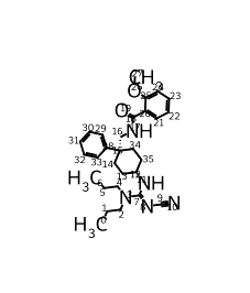 CCCN(CCC)/C(=N/C#N)N[C@H]1CC[C@@](CNC(=O)c2ccccc2OC)(c2ccccc2)CC1